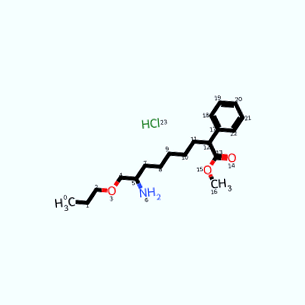 CCCOCC(N)CCCCCC(C(=O)OC)c1ccccc1.Cl